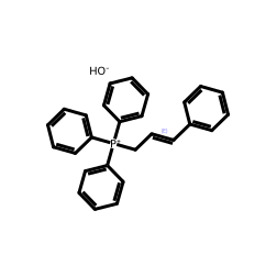 C(=C\c1ccccc1)/C[P+](c1ccccc1)(c1ccccc1)c1ccccc1.[OH-]